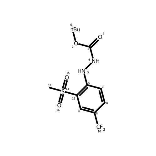 CC(C)(C)OC(=O)NNc1ccc(C(F)(F)F)cc1S(C)(=O)=O